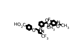 Cc1nc2cc(F)c(N(C)C(=O)c3cccc(-n4nc(C(F)(F)F)cc4COc4ccc(C(=O)O)cc4)c3)cc2o1